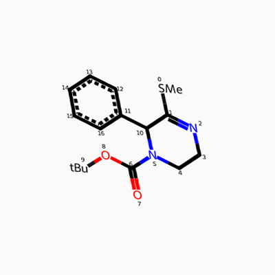 CSC1=NCCN(C(=O)OC(C)(C)C)C1c1ccccc1